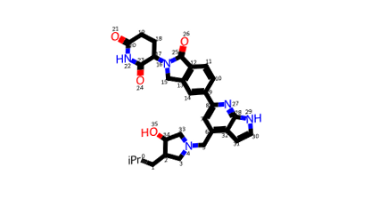 CC(C)CC1CN(Cc2cc(-c3ccc4c(c3)CN(C3CCC(=O)NC3=O)C4=O)nc3[nH]ccc23)CC1O